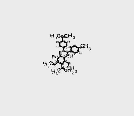 C=Cc1c(F)c(F)c(BC(Cc2ccc(C(C)C)cc2)c2ccc(C)cc2)c(CC)c1C(=C)C